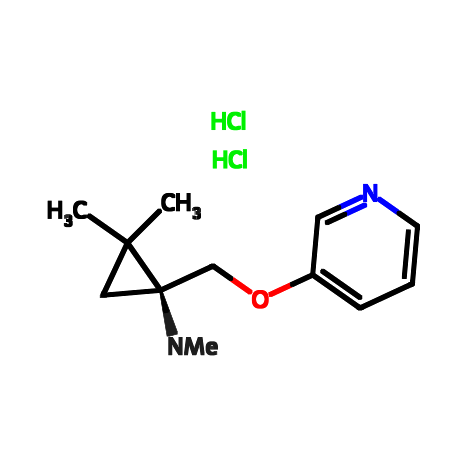 CN[C@@]1(COc2cccnc2)CC1(C)C.Cl.Cl